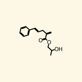 C=C(CC=Cc1ccccc1)C(=O)OCC(C)O